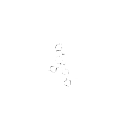 O=C(c1cnccc1C(F)(F)F)N1CCCC(Oc2ccc(C(F)(F)F)cc2)(C(=O)N2CCN(c3ccccc3O)CC2)C1